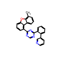 Cc1cccc2c1oc1cccc(-c3ncnc(-c4ccccc4-c4cccnc4)n3)c12